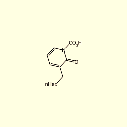 CCCCCCCc1cccn(C(=O)O)c1=O